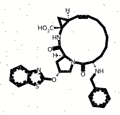 O=C1N[C@]2(C(=O)O)C[C@H]2/C=C\CCCCC[C@H](NCc2ccccc2)C(=O)N2C[C@H](Oc3nc4ccccc4s3)C[C@@H]12